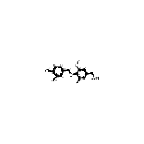 COc1cc(CO)cc(C)c1OCc1ccc(Cl)c(Cl)c1